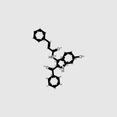 O=C(C=Cc1ccccc1)Nc1c(C(=O)c2ccccc2)[nH]c2cc(Cl)ccc12